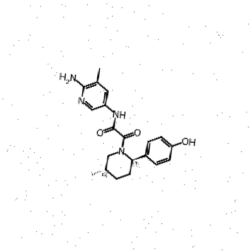 Cc1cc(NC(=O)C(=O)N2C[C@@H](C)CC[C@@H]2c2ccc(O)cc2)cnc1N